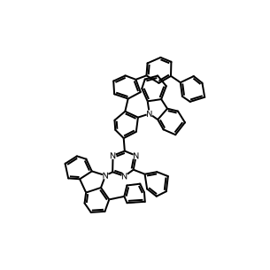 c1ccc(-c2cccc(-c3cccc(-c4ccc(-c5nc(-c6ccccc6)nc(-n6c7ccccc7c7cccc(-c8ccccc8)c76)n5)cc4-n4c5ccccc5c5ccccc54)c3)c2)cc1